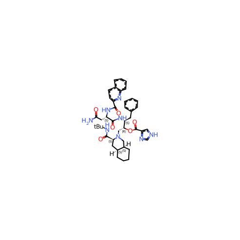 CC(C)(C)NC(=O)[C@@H]1C[C@@H]2CCCC[C@@H]2CN1C[C@@H](OC(=O)c1c[nH]cn1)[C@H](Cc1ccccc1)NC(=O)[C@H](CC(N)=O)NC(=O)c1ccc2ccccc2n1